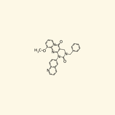 COc1cccn2c(=O)c3c(nc12)N(c1ccc2ncccc2c1)C(=O)N(Cc1ccccc1)C3